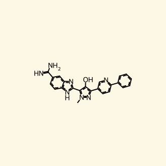 Cn1nc(-c2ccc(-c3ccccc3)nc2)c(O)c1-c1nc2cc(C(=N)N)ccc2[nH]1